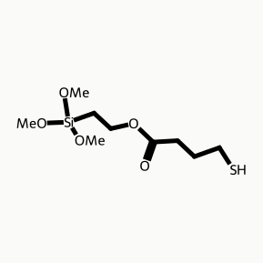 CO[Si](CCOC(=O)CCCS)(OC)OC